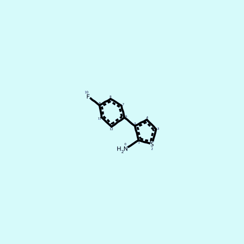 Nc1sccc1-c1ccc(F)cc1